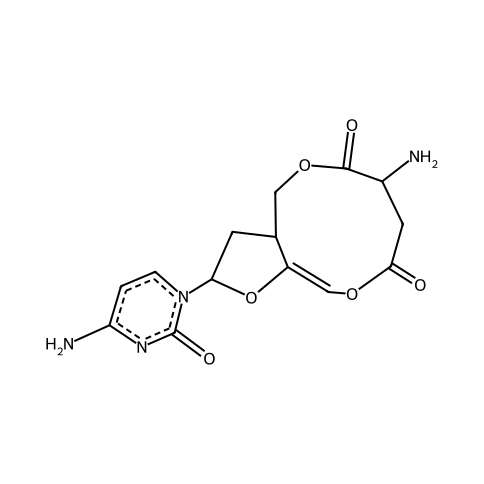 Nc1ccn(C2CC3COC(=O)C(N)CC(=O)OC=C3O2)c(=O)n1